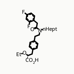 CCCCCCCN(CCc1ccc(C[C@@H](OCC)C(=O)O)cc1)C(=O)Cc1ccc(F)cc1F